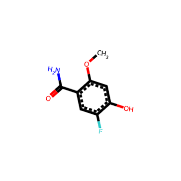 COc1cc(O)c(F)cc1C(N)=O